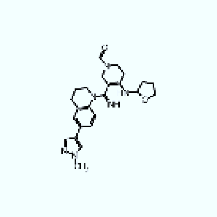 Cn1cc(-c2ccc3c(c2)CCCN3C(=N)C2=C(NC3CCCO3)CCN(C=O)C2)cn1